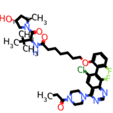 CCC(=O)N1CCN(c2ncnc3c(F)c(-c4c(F)cccc4OCCCCCCC(=O)NC(C(=O)N4C[C@H](O)C[C@H]4C)C(C)(C)C)c(Cl)cc23)CC1